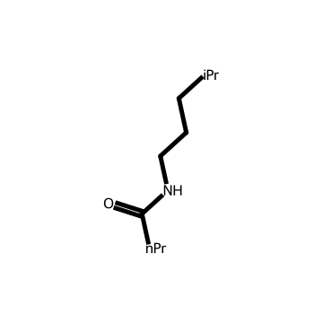 [CH2]CCC(=O)NCCCC(C)C